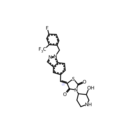 O=C1S/C(=C\c2ccc3c(cnn3Cc3ccc(F)cc3C(F)(F)F)c2)C(=O)N1C1CCNCC1O